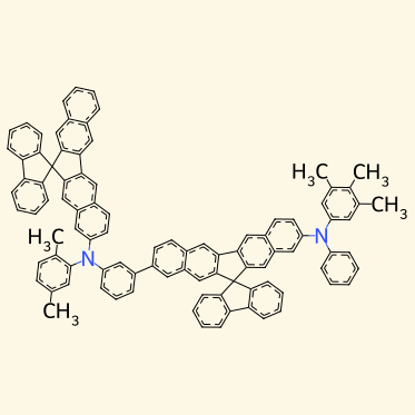 Cc1ccc(C)c(N(c2cccc(-c3ccc4cc5c(cc4c3)C3(c4ccccc4-c4ccccc43)c3cc4cc(N(c6ccccc6)c6cc(C)c(C)c(C)c6)ccc4cc3-5)c2)c2ccc3cc4c(cc3c2)C2(c3ccccc3-c3ccccc32)c2cc3ccccc3cc2-4)c1